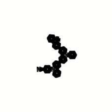 CC1(C)c2ccccc2-c2ccc(-c3ccc4c(c3)c3cc(-c5ccc6c(c5)c5ccccc5n6-c5ccc(C#N)cc5)ccc3n4-c3ccccc3)cc21